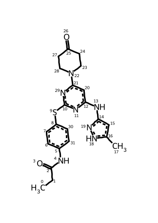 CCC(=O)Nc1ccc(Sc2nc(Nc3cc(C)[nH]n3)cc(N3CCC(=O)CC3)n2)cc1